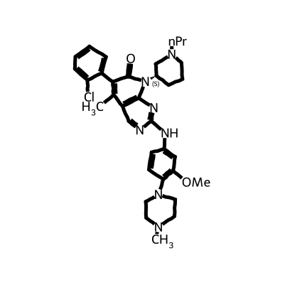 CCCN1CCC[C@H](n2c(=O)c(-c3ccccc3Cl)c(C)c3cnc(Nc4ccc(N5CCN(C)CC5)c(OC)c4)nc32)C1